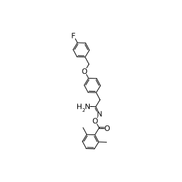 Cc1cccc(C)c1C(=O)O/N=C(\N)Cc1ccc(OCc2ccc(F)cc2)cc1